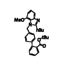 CCCCc1nc2cccc(OC)c2n1Cc1ccc(-c2ccccc2C(=O)OC(C)(C)C)cc1